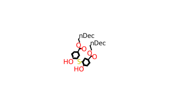 CCCCCCCCCCCCOC(=O)c1ccc(O)c(Sc2cc(C(=O)OCCCCCCCCCCCC)ccc2O)c1